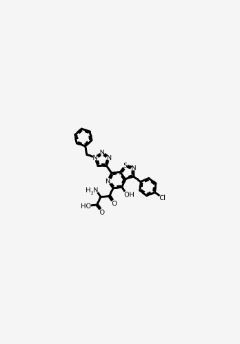 NC(C(=O)O)C(=O)c1nc(-c2cn(Cc3ccccc3)nn2)c2snc(-c3ccc(Cl)cc3)c2c1O